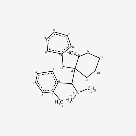 Cc1ccccc1C(N(C)C)C1(Cc2ccccc2)CCCCC1O